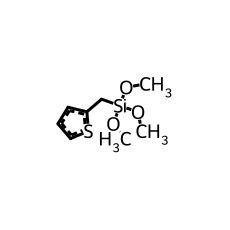 CO[Si](Cc1cccs1)(OC)OC